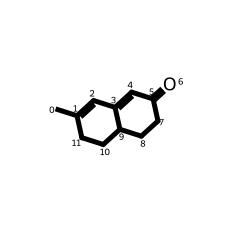 CC1=CC2=CC(=O)CCC2CC1